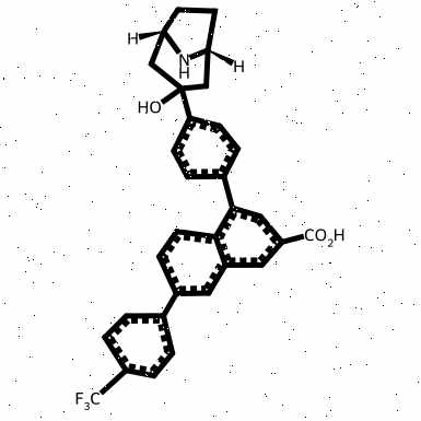 O=C(O)c1cc(-c2ccc(C3(O)C[C@H]4CC[C@@H](C3)N4)cc2)c2ccc(-c3ccc(C(F)(F)F)cc3)cc2c1